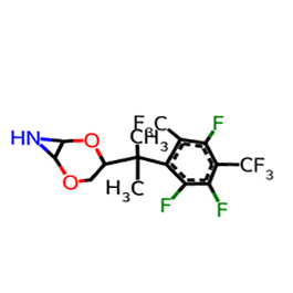 CC(C)(c1c(F)c(F)c(C(F)(F)F)c(F)c1C(F)(F)F)C1COC2NC2O1